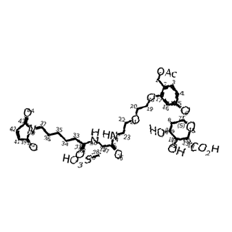 CC(=O)OCc1ccc(O[C@H]2C[C@@H](O)[C@H](O)[C@@H](C(=O)O)O2)cc1OCCOCCNC(=O)[C@H](CS(=O)(=O)O)NC(=O)CCCCCN1C(=O)C=CC1=O